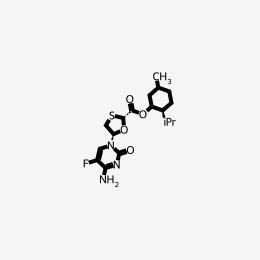 CC1CC[C@@H](C(C)C)C(OC(=O)[C@@H]2O[C@H](n3cc(F)c(N)nc3=O)CS2)C1